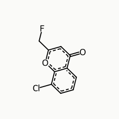 O=c1cc(CF)oc2c(Cl)cccc12